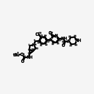 CC(C)(C)OC(=O)NC1C2CN(Cc3ccc(-n4ccc(NC(=O)N5CCNCC5)nc4=O)cc3Cl)CC21